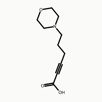 O=C(O)C#CCCCN1CCOCC1